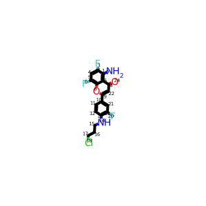 Nc1c(F)cc(F)c2oc(-c3ccc(NCCCCl)c(F)c3)cc(=O)c12